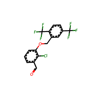 O=Cc1cccc(OCc2cc(C(F)(F)F)ccc2C(F)(F)F)c1Cl